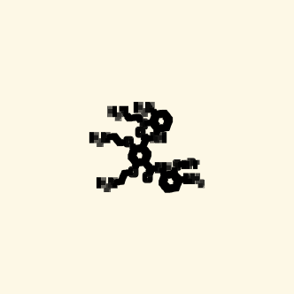 CCCSc1c(N)cccc1NC(=O)c1cc(C(=O)Nc2cccc(N)c2SCCN)c(OCCN)cc1OCCN